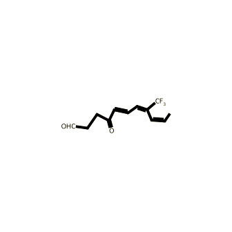 C\C=C/C(=C\C=C\C(=O)CCC=O)C(F)(F)F